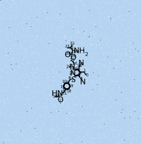 CCc1c(C#N)c(SCc2ccc(CNC(C)=O)cc2)nc(N(C)CCOC(=O)[C@@H](N)C(C)C)c1C#N